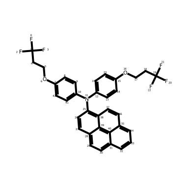 FC(F)(F)CCOc1ccc(N(c2ccc(OCCC(F)(F)F)cc2)c2ccc3ccc4cccc5ccc2c3c45)cc1